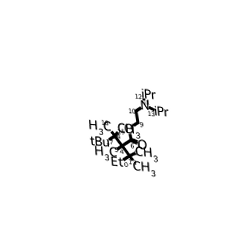 CCC(C)(C)C(C)(C(=O)OCCN(C(C)C)C(C)C)C(C)(C)C(C)(C)C